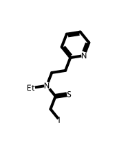 CCN(CCc1ccccn1)C(=S)CI